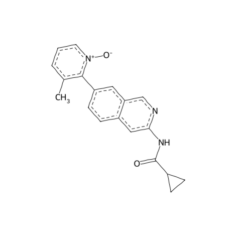 Cc1ccc[n+]([O-])c1-c1ccc2cc(NC(=O)C3CC3)ncc2c1